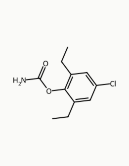 CCc1cc(Cl)cc(CC)c1OC(N)=O